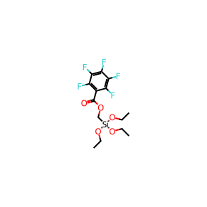 CCO[Si](COC(=O)c1c(F)c(F)c(F)c(F)c1F)(OCC)OCC